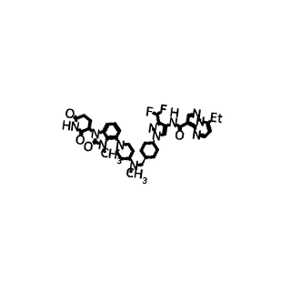 CCc1ccnc2c(C(=O)Nc3cn([C@H]4CC[C@H](CN(C)C5CCN(c6cccc7c6n(C)c(=O)n7C6CCC(=O)NC6=O)CC5)CC4)nc3C(F)F)cnn12